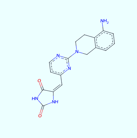 Nc1cccc2c1CCN(c1nccc(/C=C3/NC(=O)NC3=O)n1)C2